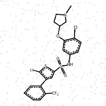 CN1CCC(Oc2cc(NS(=O)(=O)c3cc(-c4ccccc4C(F)(F)F)c(Cl)s3)ccc2Cl)C1